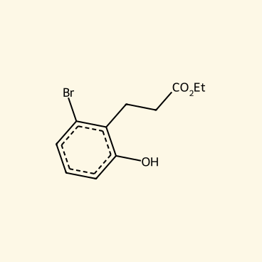 CCOC(=O)CCc1c(O)cccc1Br